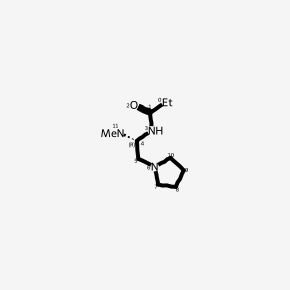 CCC(=O)N[C@H](CN1CCCC1)NC